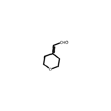 O=CC=C1CCOCC1